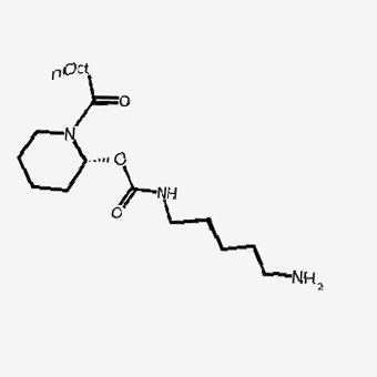 CCCCCCCCC(=O)N1CCCC[C@H]1OC(=O)NCCCCCN